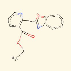 CCOC(=O)c1cccnc1-c1nc2ccccc2o1